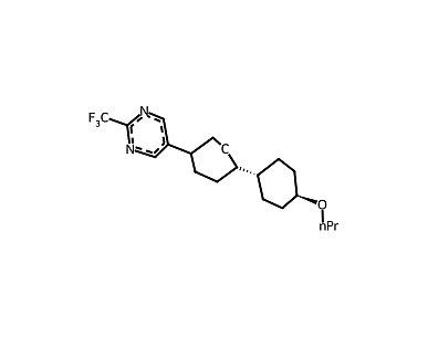 CCCO[C@H]1CC[C@H](C2CCC(c3cnc(C(F)(F)F)nc3)CC2)CC1